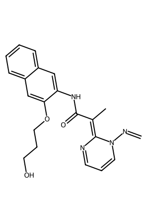 C=NN1C=CC=N/C1=C(/C)C(=O)Nc1cc2ccccc2cc1OCCCO